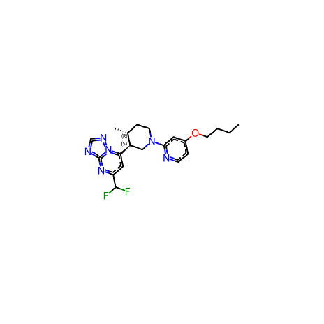 CCCCOc1ccnc(N2CC[C@@H](C)[C@H](c3cc(C(F)F)nc4ncnn34)C2)c1